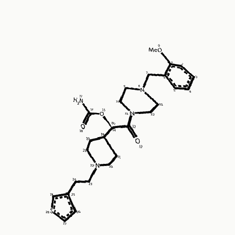 COc1ccccc1CN1CCN(C(=O)[C@H](OC(N)=O)C2CCN(CCc3ccsc3)CC2)CC1